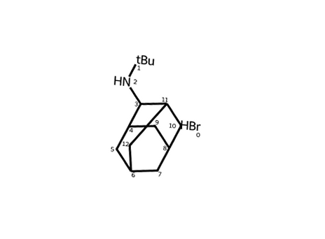 Br.CC(C)(C)NC1C2CC3CC(C2)CC1C3